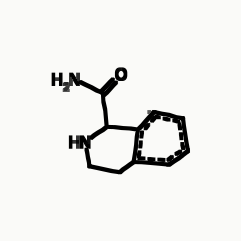 NC(=O)C1NCCc2ccc[c]c21